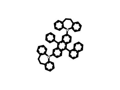 c1ccc(-c2c3cc(N4c5ccccc5CCc5ccccc54)ccc3c(-c3cccc4ccccc34)c3ccc(N4c5ccccc5CCc5ccccc54)cc23)cc1